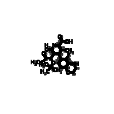 COC(=O)[C@@H](OC(C)(C)C)c1c(C)nc(C(=O)O)c(C)c1-c1ccc2c(c1F)NCCO2